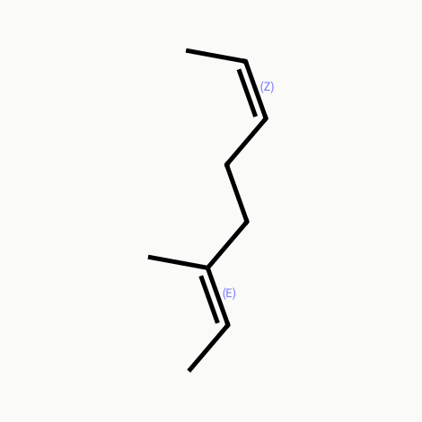 C/C=C\CC/C(C)=C/C